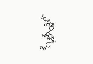 CCO[C@H]1CC[C@@H](Nc2ncc3c(-c4ccn5ncc(C(=O)NCC(C)(C)F)c5c4)c[nH]c3n2)CC1